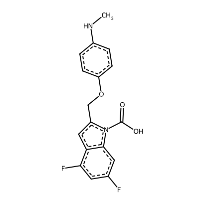 CNc1ccc(OCc2cc3c(F)cc(F)cc3n2C(=O)O)cc1